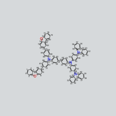 c1ccc2c(c1)oc1ccc(-c3ccc(N(c4ccc(-c5ccc(N(c6ccc(-n7c8ccccc8c8ccccc87)cc6)c6ccc(-n7c8ccccc8c8ccccc87)cc6)cc5)cc4)c4ccc(-c5ccc6oc7ccccc7c6c5)cc4)cc3)cc12